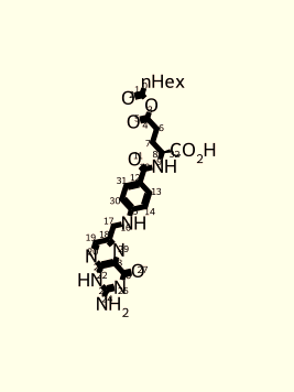 CCCCCCC(=O)OC(=O)CC[C@H](NC(=O)c1ccc(NCc2cnc3[nH]c(N)nc(=O)c3n2)cc1)C(=O)O